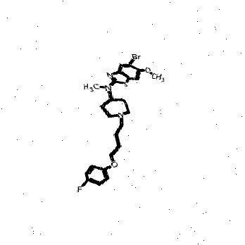 COc1cc2sc(N(C)C3CCN(CCCCOc4ccc(F)cc4)CC3)nc2cc1Br